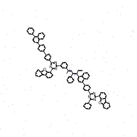 C=C/C(=C(\C=C(/C)c1cccc(-c2nc(-c3ccc(-c4ccc(-c5ccc(-c6ccccc6)c6ccccc56)cc4)cc3)nc(-c3cccc4c3oc3ccccc34)n2)c1)c1ccccc1)c1ccc(-c2ccc(-c3nc(-c4ccccc4)nc(-c4cccc5c4oc4ccccc45)n3)cc2)c2ccccc12